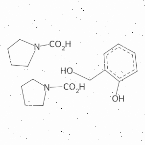 O=C(O)N1CCCC1.O=C(O)N1CCCC1.OCc1ccccc1O